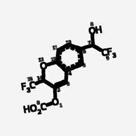 O=C(O)OC1=Cc2cc(C(O)C(F)(F)F)ccc2OC1C(F)(F)F